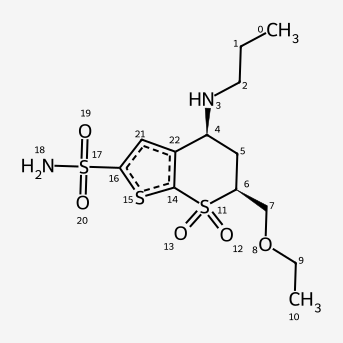 CCCN[C@H]1C[C@@H](COCC)S(=O)(=O)c2sc(S(N)(=O)=O)cc21